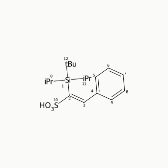 CC(C)[Si](C(=Cc1ccccc1)S(=O)(=O)O)(C(C)C)C(C)(C)C